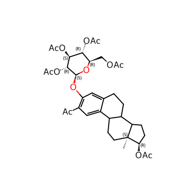 CC(=O)OC[C@H]1O[C@@H](Oc2cc3c(cc2C(C)=O)C2CC[C@@]4(C)C(CC[C@H]4OC(C)=O)C2CC3)[C@H](OC(C)=O)[C@@H](OC(C)=O)[C@@H]1OC(C)=O